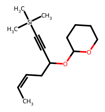 C/C=C\CC(C#C[Si](C)(C)C)OC1CCCCO1